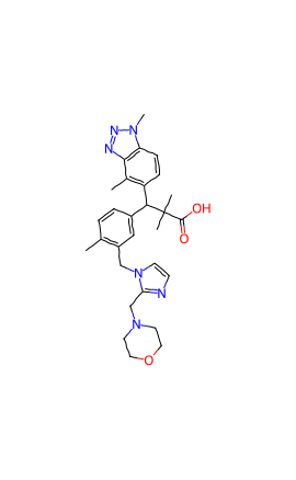 Cc1ccc(C(c2ccc3c(nnn3C)c2C)C(C)(C)C(=O)O)cc1Cn1ccnc1CN1CCOCC1